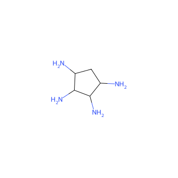 NC1CC(N)C(N)C1N